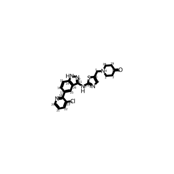 O=C1CCN(Cc2cnc(Nc3n[nH]c4ccc(-c5ncccc5Cl)cc34)s2)CC1